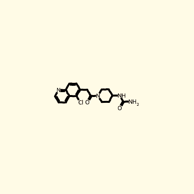 NC(=O)NC1CCN(C(=O)Cc2ccc3ncccc3c2Cl)CC1